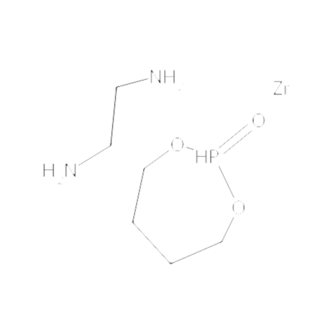 NCCN.O=[PH]1OCCCCO1.[Zr]